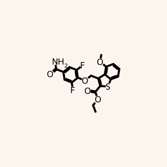 CCOC(=O)c1sc2cccc(OC)c2c1COc1c(F)cc(C(N)=O)cc1F